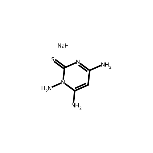 Nc1cc(N)n(N)c(=S)n1.[NaH]